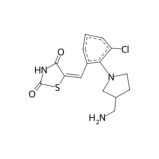 NCC1CCN(c2c(Cl)cccc2/C=C2/SC(=O)NC2=O)C1